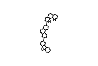 c1cnc2c(c1)ccc1ccc(-c3ccc4c(ccc5cc(-c6ccc7oc8ccccc8c7c6)ccc54)c3)nc12